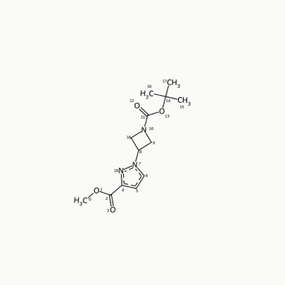 COC(=O)c1ccn(C2CN(C(=O)OC(C)(C)C)C2)n1